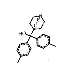 Cc1ccc(C(O)(c2ccc(C)cc2)C23CCN(CC2)CC3)cc1